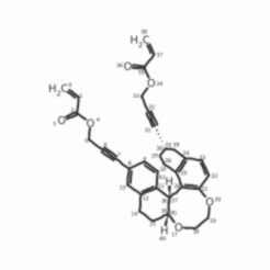 C=CC(=O)OCC#Cc1ccc2c(c1)CC[C@H]1OCCOc3ccc4c(c3[C@@H]21)CC[C@H](C#CCOC(=O)C=C)C4